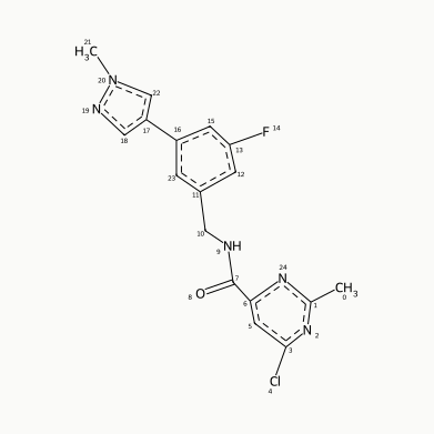 Cc1nc(Cl)cc(C(=O)NCc2cc(F)cc(-c3cnn(C)c3)c2)n1